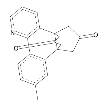 Cc1ccc2c(c1)C13CC(=O)CC1(CC(=O)C3)c1cccnc1-2